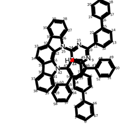 c1ccc(-c2ccc(C3N=C(c4cccc(-c5ccccc5)c4)N=C(n4c5ccccc5c5ccc6c7ccccc7n(-c7ccc(-c8ccccc8)cc7-c7ccccc7)c6c54)N3)cc2)cc1